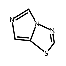 c1nn2cncc2s1